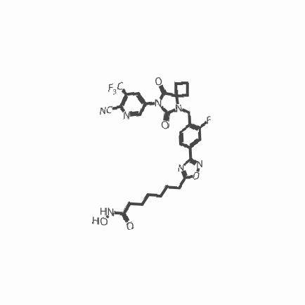 N#Cc1ncc(N2C(=O)N(Cc3ccc(-c4noc(CCCCCCC(=O)NO)n4)cc3F)C3(CCC3)C2=O)cc1C(F)(F)F